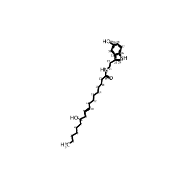 CCCCCC[C@H](O)CC=CCCCCCCCC(=O)NCCc1c[nH]c2ccc(O)cc12